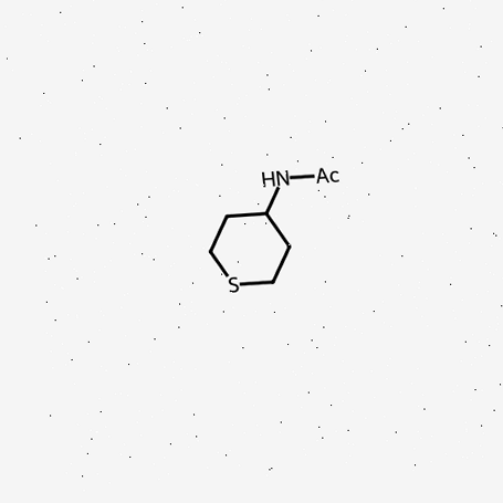 CC(=O)NC1CCSCC1